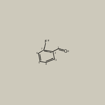 O=Cc1[c]cccc1F